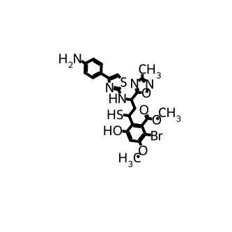 COC(=O)c1c(Br)c(OC)cc(O)c1C(S)CC(Nc1nc(-c2ccc(N)cc2)cs1)c1nc(C)no1